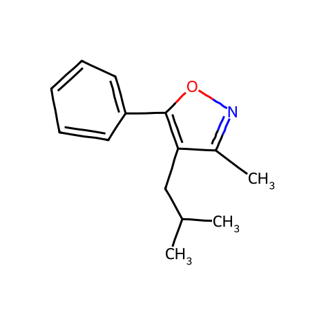 Cc1noc(-c2ccccc2)c1CC(C)C